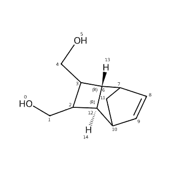 OCC1C(CO)[C@@H]2C3C=CC(C3)[C@@H]12